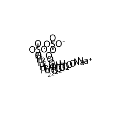 O.O.O.O.O.O.O.O.O.O.O=S(=O)([O-])OOS(=O)(=O)[O-].[Na+].[Na+]